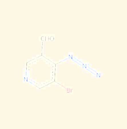 [N-]=[N+]=Nc1c(Br)cncc1C=O